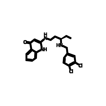 CC[C@H](CCNc1cc(=O)c2ccccc2[nH]1)NCc1ccc(Cl)c(Cl)c1